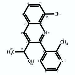 Cc1ncccc1-c1nc2c(Cl)cccc2cc1C(C)O